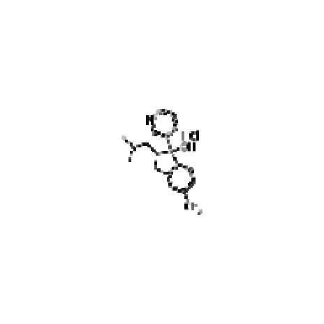 CN(C)CC1Cc2cc(C(F)(F)F)ccc2C1(O)c1cccnc1.Cl